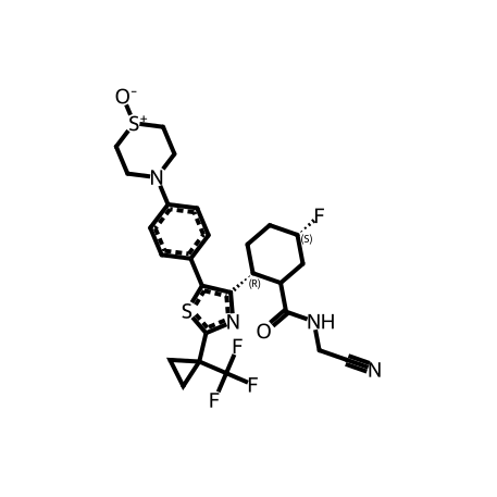 N#CCNC(=O)C1C[C@@H](F)CC[C@H]1c1nc(C2(C(F)(F)F)CC2)sc1-c1ccc(N2CC[S+]([O-])CC2)cc1